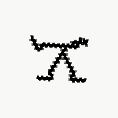 CCCCC/C=C\C/C=C\CCCCCCCCN(CCCCCCCC/C=C\C/C=C\CCCCC)CCN(CCCCCCCC/C=C\C/C=C\CCCCC)CCN1CCN(C(=O)OC(C)(C)C)CC1